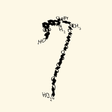 CCCN(CC#CCN(C)CCOCCOCCOCCOCCOCCOCCOCCOCCOCCOCCC(=O)O)C(=O)C1=Cc2ccc(-c3cccc(S(=O)(=O)N4CC(CO)C4)c3)cc2N=C(N)C1